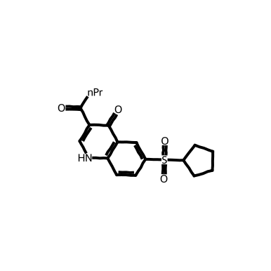 CCCC(=O)c1c[nH]c2ccc(S(=O)(=O)C3CCCC3)cc2c1=O